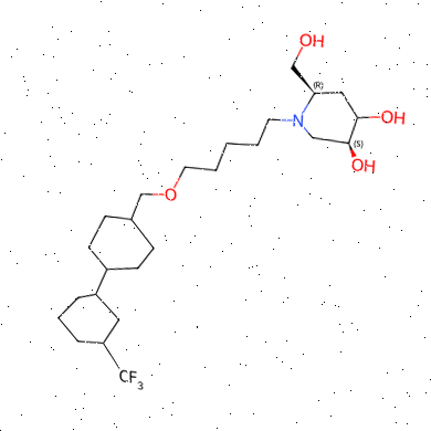 OC[C@H]1CC(O)[C@@H](O)CN1CCCCCOCC1CCC(C2CCCC(C(F)(F)F)C2)CC1